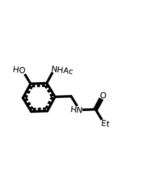 CCC(=O)NCc1cccc(O)c1NC(C)=O